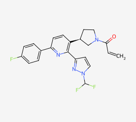 C=CC(=O)N1CC[C@H](c2ccc(-c3ccc(F)cc3)nc2-c2ccn(C(F)F)n2)C1